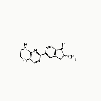 CN1Cc2cc(-c3ccc4c(n3)NCCO4)ccc2C1=O